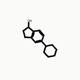 OC1CCc2cc(C3CCCCC3)ccc21